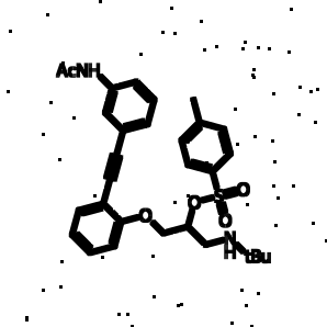 CC(=O)Nc1cccc(C#Cc2ccccc2OCC(CNC(C)(C)C)OS(=O)(=O)c2ccc(C)cc2)c1